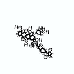 CC1CC(O[C@H]2C[C@](O)(/C(CO)=N/NC(=O)Cc3ccc(N4C(=O)C=CC4=O)cc3)Cc3c(O)c4c(c(O)c32)C(=O)c2c(CO)cccc2C4=O)CC(N)C1O